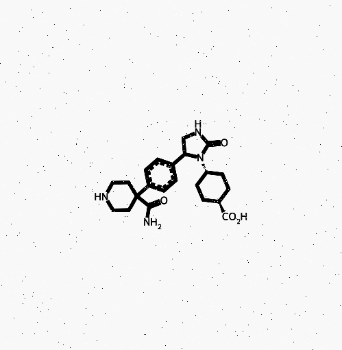 NC(=O)C1(c2ccc(C3CNC(=O)N3[C@H]3CC[C@H](C(=O)O)CC3)cc2)CCNCC1